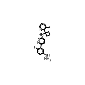 NNc1ccc(F)c(-c2ccc(NC3(c4ncccc4F)CCC3)nn2)c1